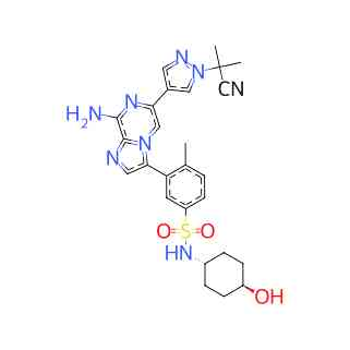 Cc1ccc(S(=O)(=O)N[C@H]2CC[C@H](O)CC2)cc1-c1cnc2c(N)nc(-c3cnn(C(C)(C)C#N)c3)cn12